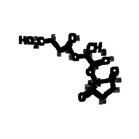 CC(OC(=O)CCC(=O)O)C(=O)ON1C(=O)CCC1=O